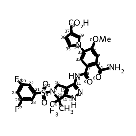 COc1cc(C(N)=O)c(C(=O)Nc2n[nH]c3c2CN(S(=O)(=O)c2cc(F)cc(F)c2)C3(C)C)cc1-n1ccc(C(=O)O)c1